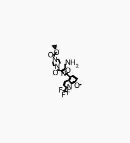 COc1ccc(-c2nc(C(=O)N3CCN(C(=O)OC4CC4)CC3)c(CN)o2)c2ccc(C(F)(F)F)nc12